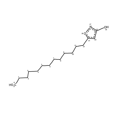 O=C(O)CCCCCCCCCCCCc1cc(O)no1